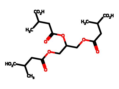 CC(CC(=O)OCC(COC(=O)CC(C)C(=O)O)OC(=O)CC(C)C(=O)O)C(=O)O